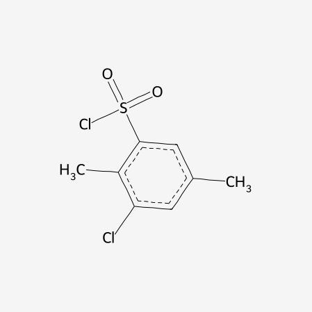 Cc1cc(Cl)c(C)c(S(=O)(=O)Cl)c1